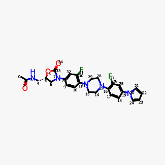 CC(=O)NC[C@H]1CN(c2ccc(N3CCN(c4ccc(-n5cccc5)cc4F)CC3)c(F)c2)C(=O)O1